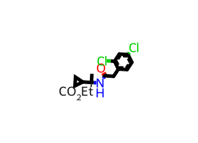 CCOC(=O)[C@](C)(NC(=O)Cc1ccc(Cl)cc1Cl)C1CC1